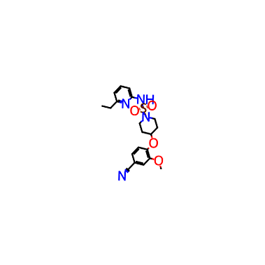 CCc1cccc(NS(=O)(=O)N2CCC(Oc3ccc(C#N)cc3OC)CC2)n1